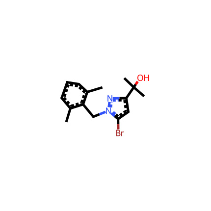 Cc1cccc(C)c1Cn1nc(C(C)(C)O)cc1Br